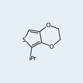 CC(C)c1scc2c1OCCO2